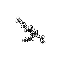 COc1cc(=O)n(C)cc1-c1ccc2c(c1)C=NC(C(C)COC1CC(c3ccccc3OC(=O)Oc3ccc([N+](=O)[O-])cc3)CCO1)(C1(COC(=O)N3CC(C)NCC3C)CCNCC1)N2C1CC1